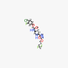 CC(F)(F)CCCOc1nnc([C@H]2CC[C@H](NC(=O)COc3ccc(Cl)c(F)c3)CN2)o1